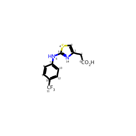 O=C(O)Cc1csc(Nc2ccc(C(F)(F)F)cc2)n1